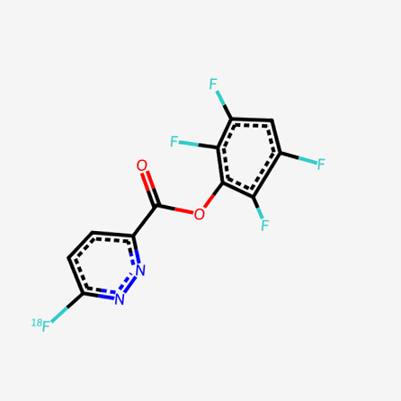 O=C(Oc1c(F)c(F)cc(F)c1F)c1ccc([18F])nn1